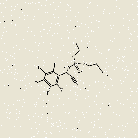 CCCSP(=O)(OCC)OC(C#N)c1c(F)c(F)c(F)c(F)c1F